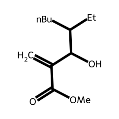 C=C(C(=O)OC)C(O)C(CC)CCCC